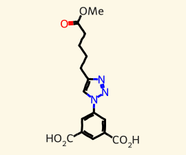 COC(=O)CCCCc1cn(-c2cc(C(=O)O)cc(C(=O)O)c2)nn1